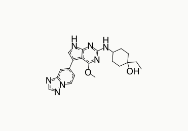 CCC1(O)CCC(Nc2nc(OC)c3c(-c4ccn5ncnc5c4)c[nH]c3n2)CC1